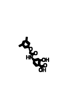 Cc1cc(C)cc(OCC(=O)Nc2ccc(C(=O)O)c(O)c2)c1